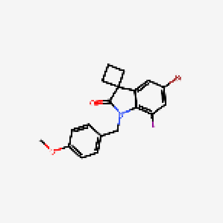 COc1ccc(CN2C(=O)C3(CCC3)c3cc(Br)cc(I)c32)cc1